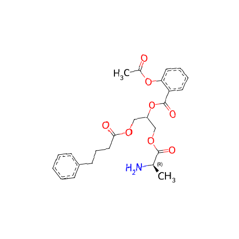 CC(=O)Oc1ccccc1C(=O)OC(COC(=O)CCCc1ccccc1)COC(=O)[C@@H](C)N